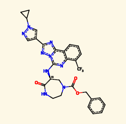 O=C1NCCN(C(=O)OCc2ccccc2)C[C@@H]1Nc1nc2c(C(F)(F)F)cccc2c2nc(-c3cnn(C4CC4)c3)nn12